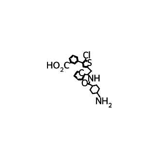 NCC1CCC(C(=O)NC(Cc2cc(-c3cccc(C(=O)O)c3)c(Cl)s2)c2ccccc2)CC1